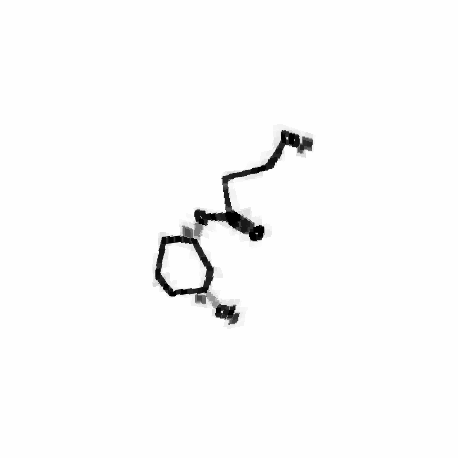 C[C@@H]1CCC[C@H](OC(=O)CCC(=O)O)C1